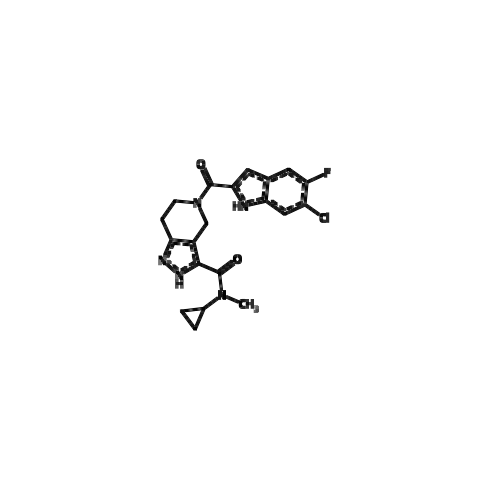 CN(C(=O)c1[nH]nc2c1CN(C(=O)c1cc3cc(F)c(Cl)cc3[nH]1)CC2)C1CC1